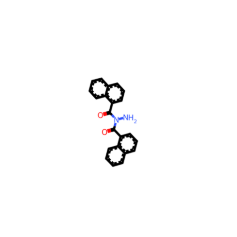 NN(C(=O)c1cccc2ccccc12)C(=O)c1cccc2ccccc12